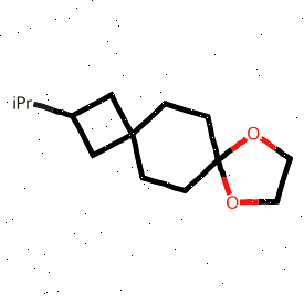 CC(C)C1CC2(CCC3(CC2)OCCO3)C1